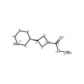 CC(C)(C)OC(=O)N1CC([C@@H]2CCCNC2)C1